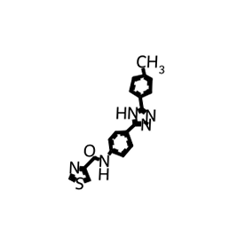 Cc1ccc(-c2nnc(-c3ccc(NC(=O)c4cscn4)cc3)[nH]2)cc1